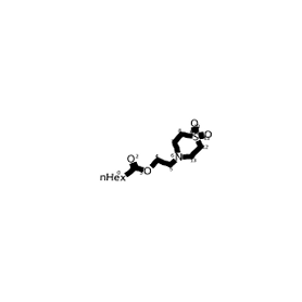 CCCCCCC(=O)OCCN1CCS(=O)(=O)CC1